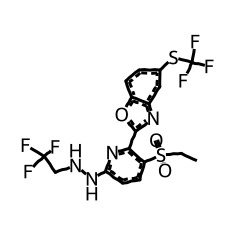 CCS(=O)(=O)c1ccc(NNCC(F)(F)F)nc1-c1nc2cc(SC(F)(F)F)ccc2o1